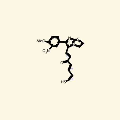 COc1ccc(-c2nc3sccn3c2/C=C/C(=O)/C=C/C=C\S)cc1[N+](=O)[O-]